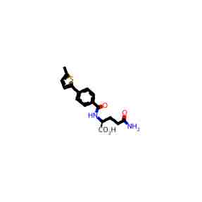 Cc1ccc(-c2ccc(C(=O)N[C@@H](CCC(N)=O)C(=O)O)cc2)s1